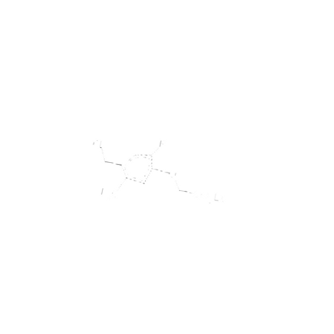 CCOC(=O)COc1cc(C(F)(F)F)c(CCl)cc1F